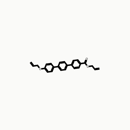 C=CCOC(=O)c1ccc(-c2ccc(-c3ccc(OCC=C)cc3)cc2)cc1